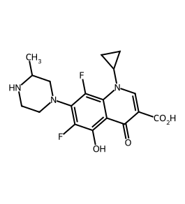 CC1CN(c2c(F)c(O)c3c(=O)c(C(=O)O)cn(C4CC4)c3c2F)CCN1